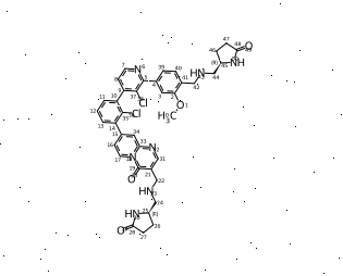 COc1cc(-c2nccc(-c3cccc(-c4ccn5c(=O)c(CNC[C@H]6CCC(=O)N6)cnc5c4)c3Cl)c2Cl)ccc1CNC[C@H]1CCC(=O)N1